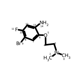 CN(C)CCOc1cc(Br)c(F)cc1N